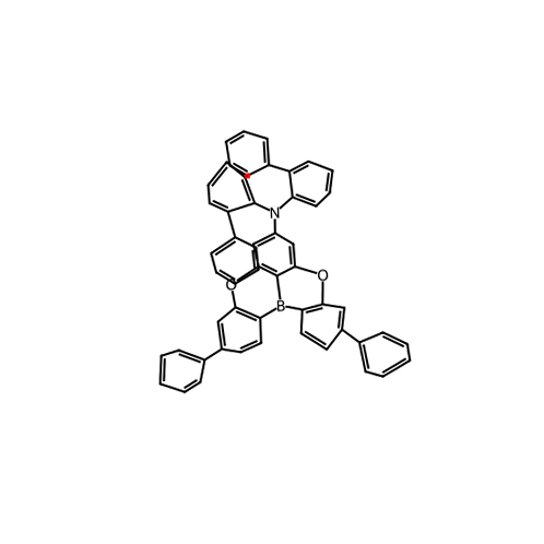 c1ccc(-c2ccc3c(c2)Oc2cc(N(c4ccccc4-c4ccccc4)c4ccccc4-c4ccccc4)cc4c2B3c2ccc(-c3ccccc3)cc2O4)cc1